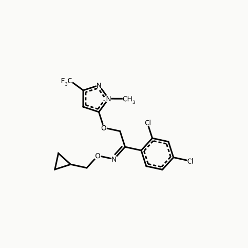 Cn1nc(C(F)(F)F)cc1OC/C(=N\OCC1CC1)c1ccc(Cl)cc1Cl